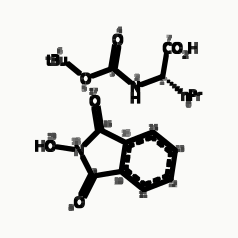 CCC[C@H](NC(=O)OC(C)(C)C)C(=O)O.O=C1c2ccccc2C(=O)N1O